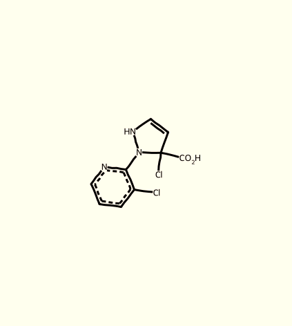 O=C(O)C1(Cl)C=CNN1c1ncccc1Cl